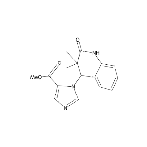 COC(=O)c1cncn1C1c2ccccc2NC(=O)C1(C)C